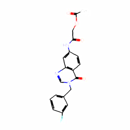 CC(=O)OCC(=O)Nc1ccc2c(=O)n(Cc3cccc(F)c3)cnc2c1